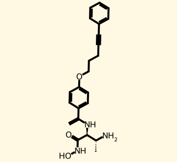 C=C(N[C@H](C(=O)NO)[C@@H](C)N)c1ccc(OCCCC#Cc2ccccc2)cc1